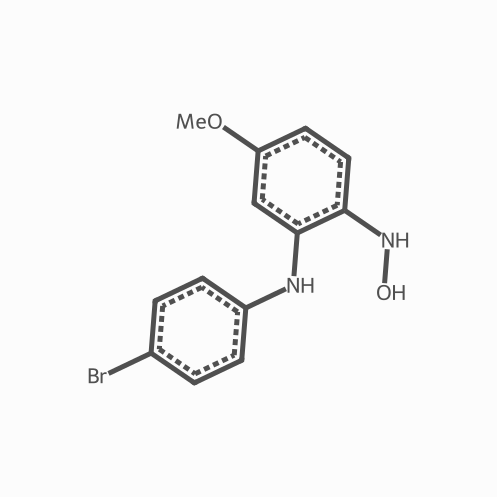 COc1ccc(NO)c(Nc2ccc(Br)cc2)c1